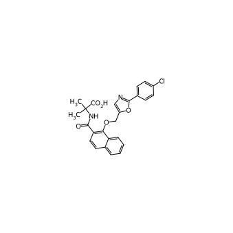 CC(C)(NC(=O)c1ccc2ccccc2c1OCc1cnc(-c2ccc(Cl)cc2)o1)C(=O)O